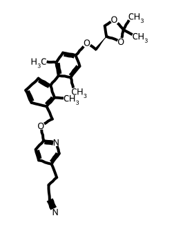 Cc1cc(OC[C@H]2COC(C)(C)O2)cc(C)c1-c1cccc(COc2ccc(CCC#N)cn2)c1C